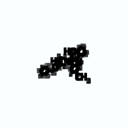 Cc1ccc2c(N3CCNC(COCc4ccccc4)C3)nc(-c3ccccc3O)nc2c1